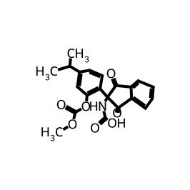 COC(=O)Oc1cc(C(C)C)ccc1C1(NC(=O)O)C(=O)c2ccccc2C1=O